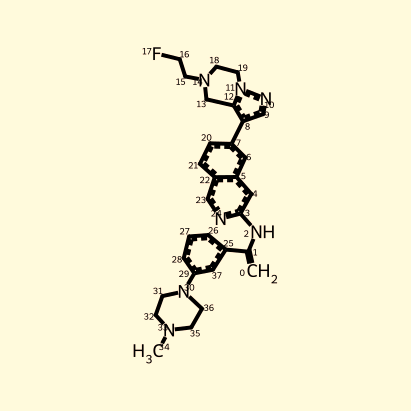 C=C(Nc1cc2cc(-c3cnn4c3CN(CCF)CC4)ccc2cn1)c1cccc(N2CCN(C)CC2)c1